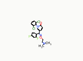 CN(C)CCON=C(c1ccc(=O)n(-c2c(Cl)cccc2Cl)c1)c1ccc(F)cc1F